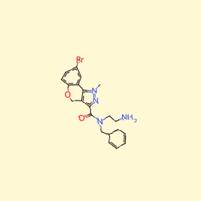 Cn1nc(C(=O)N(CCN)CC2C=CC=CC2)c2c1-c1cc(Br)ccc1OC2